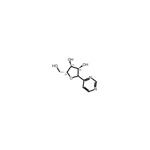 OC[C@H]1OC(c2ccn[c]n2)[C@H](O)[C@@H]1O